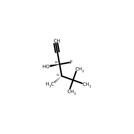 C#C[C@](O)(F)[C@@H](C)C(C)(C)C